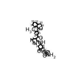 Cc1sc(C(=O)c2cncnc2N[C@@H]2C[C@H](COS(N)(=O)=O)[C@@H](O)C2)cc1[C@@H]1OCCc2ccccc21